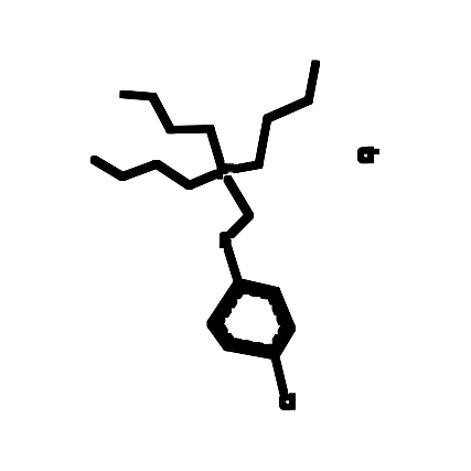 CCCC[P+](CCCC)(CCCC)CSc1ccc(Cl)cc1.[Cl-]